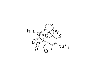 CC1=C2COCC23C(=O)C(O)(C1=O)C12COCC1=C(C)C(=O)C3(O)C2=O